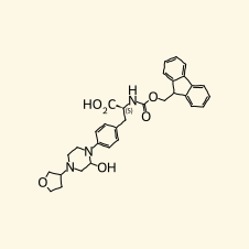 O=C(N[C@@H](Cc1ccc(N2CCN(C3CCOC3)CC2O)cc1)C(=O)O)OCC1c2ccccc2-c2ccccc21